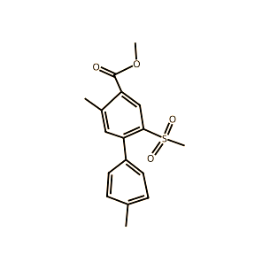 COC(=O)c1cc(S(C)(=O)=O)c(-c2ccc(C)cc2)cc1C